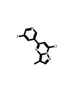 Cc1cnn2c(Cl)cc(-c3cncc(F)c3)nc12